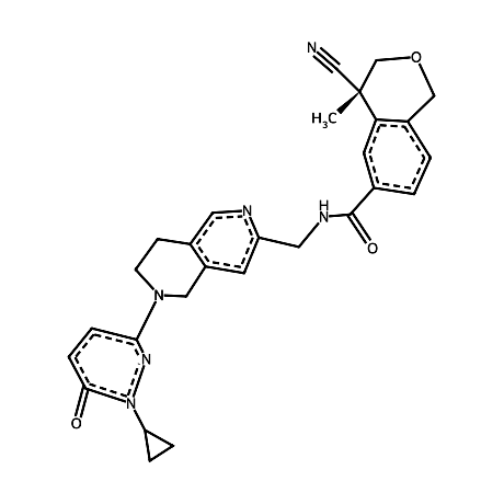 C[C@@]1(C#N)COCc2ccc(C(=O)NCc3cc4c(cn3)CCN(c3ccc(=O)n(C5CC5)n3)C4)cc21